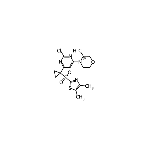 Cc1nc(S(=O)(=O)C2(c3cc(N4CCOC[C@@H]4C)nc(Cl)n3)CC2)sc1C